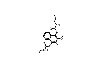 CCCNC(=O)Oc1c(C)c(OC)c(OC(=O)NCCC)c2ccccc12